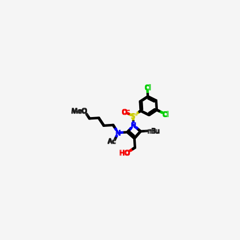 CCCCC1C(CO)=C(N(CCCCOC)C(C)=O)N1[S+]([O-])c1cc(Cl)cc(Cl)c1